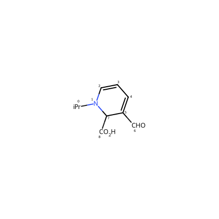 CC(C)N1C=CC=C(C=O)C1C(=O)O